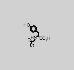 CCC(=O)CN[C@@H](Cc1ccc(O)cc1)C(=O)O